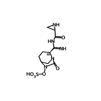 N=C(NC(=O)C1CN1)[C@@H]1CCC2CN1C(=O)N2OS(=O)(=O)O